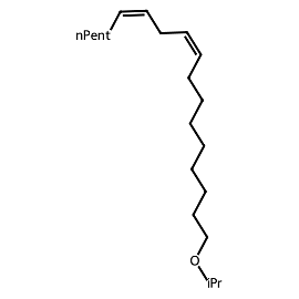 CCCCC/C=C\C/C=C\CCCCCCCCOC(C)C